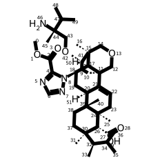 COC(=O)c1ncnn1[C@@H]1C[C@@]23COC[C@@](C)([C@@H]2CC[C@H]2C3=CC[C@@]3(C)[C@H](C(=O)O)[C@@](C)([C@H](C)C(C)C)CC[C@]23C)[C@H]1OC[C@](C)(N)C(C)C